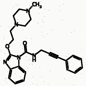 CN1CCN(CCOc2nc3ccccc3n2C(=O)NCC#Cc2ccccc2)CC1